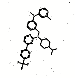 Cc1cc(N(C)c2cccc(CN(c3nccc(-c4ccc(C(F)(F)F)cc4)n3)C3CCN(C(C)C)CC3)c2)ccn1